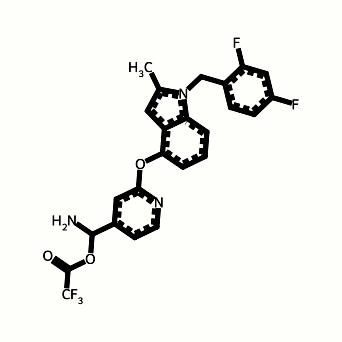 Cc1cc2c(Oc3cc(C(N)OC(=O)C(F)(F)F)ccn3)cccc2n1Cc1ccc(F)cc1F